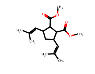 COC(=O)C1C(C=C(C)C)CC(C=C(C)C)C1C(=O)OC